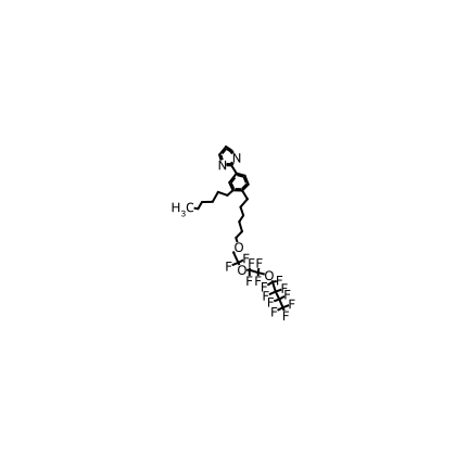 CCCCCCc1cc(-c2ncccn2)ccc1CCCCCCOCC(F)(F)OC(F)(F)C(F)(F)OC(F)(F)C(F)(F)C(F)(F)C(F)(F)F